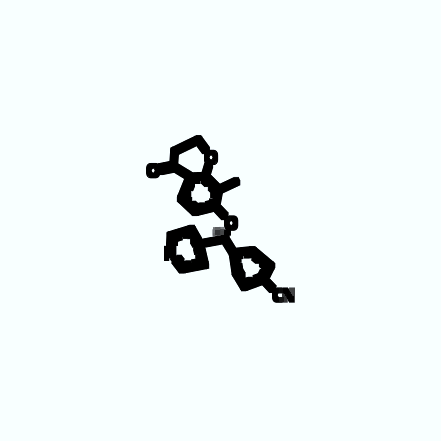 Cc1c(O[C@@H](c2ccncc2)c2ccc(C#N)cc2)ccc2c1OCCC2=O